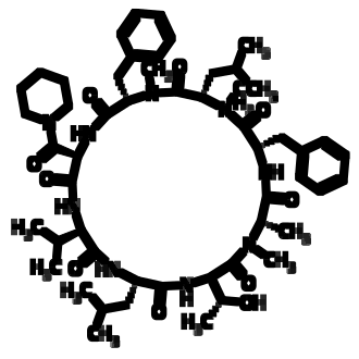 CC(C)C[C@@H]1NC(=O)[C@@H](C(C)C)NC(=O)[C@@H](C(=O)N2CCCCC2)NC(=O)[C@H](Cc2ccccc2)N(C)C(=O)[C@H](CC(C)C)N(C)C(=O)[C@H](Cc2ccccc2)NC(=O)[C@H](C)N(C)C(=O)C([C@@H](C)O)NC1=O